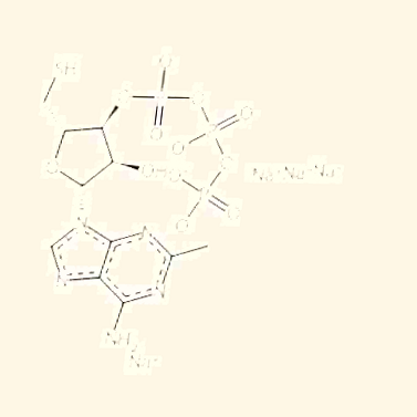 Cc1nc(N)c2ncn([C@@H]3O[C@H](CS)[C@@H](OP(=O)([O-])OP(=O)([O-])OP(=O)([O-])[O-])[C@H]3O)c2n1.[Na+].[Na+].[Na+].[Na+]